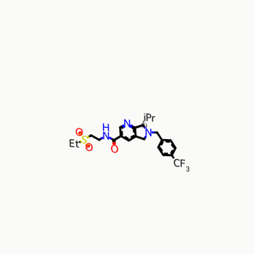 CCS(=O)(=O)CCNC(=O)c1cnc2c(c1)CN(Cc1ccc(C(F)(F)F)cc1)[C@H]2C(C)C